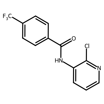 O=C(Nc1cccnc1Cl)c1ccc(C(F)(F)F)cc1